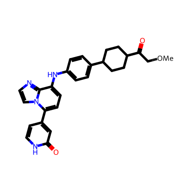 COCC(=O)C1CCC(c2ccc(Nc3ccc(-c4cc[nH]c(=O)c4)n4ccnc34)cc2)CC1